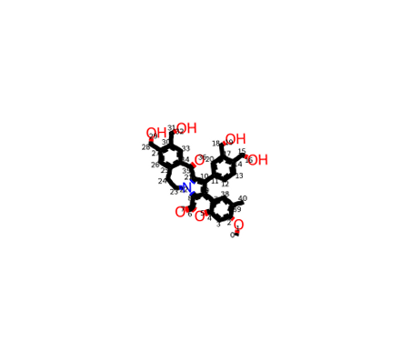 COc1cc2oc(=O)c3c(c(-c4ccc(CO)c(CO)c4)c4n3CCc3cc(CO)c(CO)cc3C4=O)c2cc1C